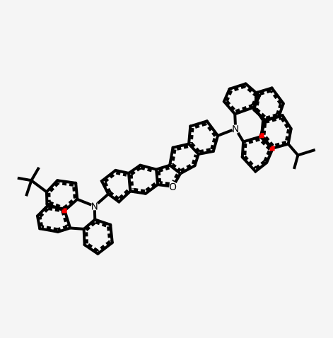 CC(C)c1ccc(-c2ccccc2N(c2ccc3cc4c(cc3c2)oc2cc3cc(N(c5ccc(C(C)(C)C)cc5)c5ccccc5-c5ccccc5)ccc3cc24)c2ccccc2-c2ccccc2)cc1